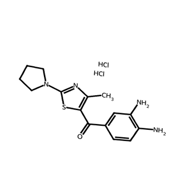 Cc1nc(N2CCCC2)sc1C(=O)c1ccc(N)c(N)c1.Cl.Cl